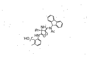 CC(=O)N(C1c2ccccc2-c2ccccc21)[C@@H](C)C(=O)[C@@](N)(C(=O)Nc1cccc(C)c1C(=O)O)C(C)C